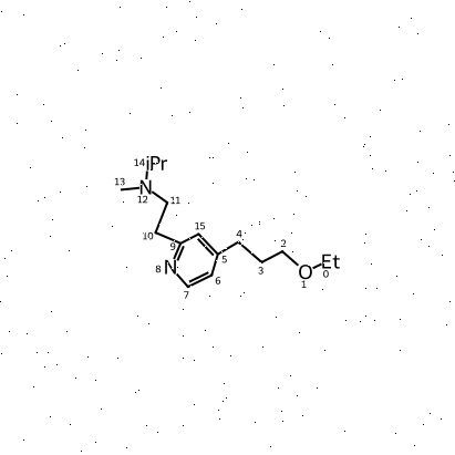 CCOCCCc1ccnc(CCN(C)C(C)C)c1